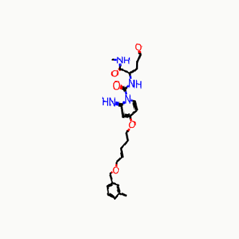 CNC(=O)C(CCC=O)NC(=O)n1ccc(OCCCCCOCc2cccc(C)c2)cc1=N